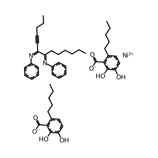 CCCC#CC(=Nc1ccccc1)C(CCCCCC)=Nc1ccccc1.CCCCCc1ccc(O)c(O)c1C(=O)[O-].CCCCCc1ccc(O)c(O)c1C(=O)[O-].[Ni+2]